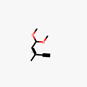 C#C/C(C)=C\C(OC)OC